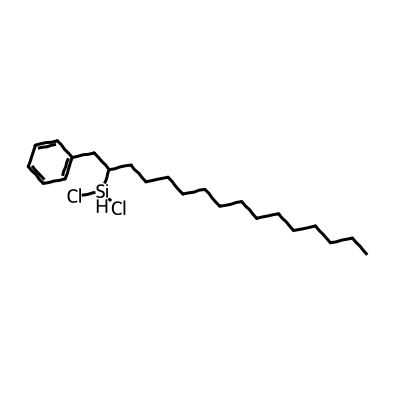 CCCCCCCCCCCCCCC(Cc1ccccc1)[SiH](Cl)Cl